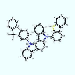 CC1(C)c2ccccc2-c2ccc(-n3c4ccccc4c4ccc5c(c6ccccc6n5-c5cccc6c5sc5ccccc56)c43)cc21